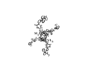 CC(=O)Oc1ccc(CC[Si]2(C)C[Si](C)(CCCOCC3CO3)O[Si](C)(CCc3ccc(OC(C)=O)cc3)O[Si](C)(CCCOC[C@@H]3CO3)O2)cc1